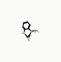 NN1c2ccccc2OC2SC21